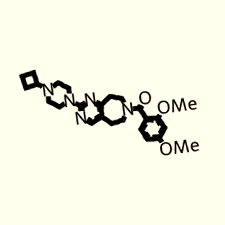 COc1ccc(C(=O)N2CCc3cnc(N4CCN(C5CCC5)CC4)nc3CC2)c(OC)c1